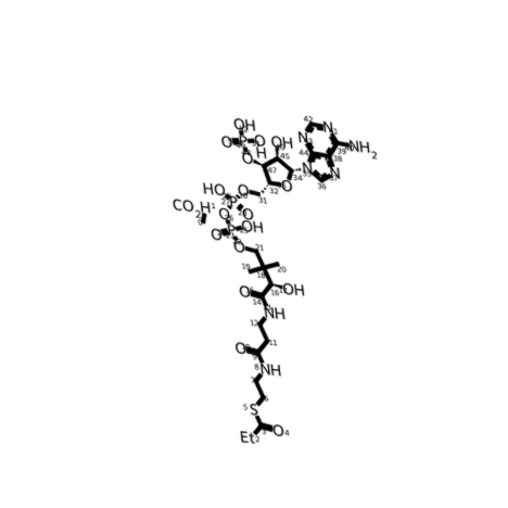 CC(=O)O.CCC(=O)SCCNC(=O)CCNC(=O)[C@H](O)C(C)(C)COP(=O)(O)OP(=O)(O)OC[C@H]1O[C@@H](n2cnc3c(N)ncnc32)[C@H](O)[C@@H]1OP(=O)(O)O